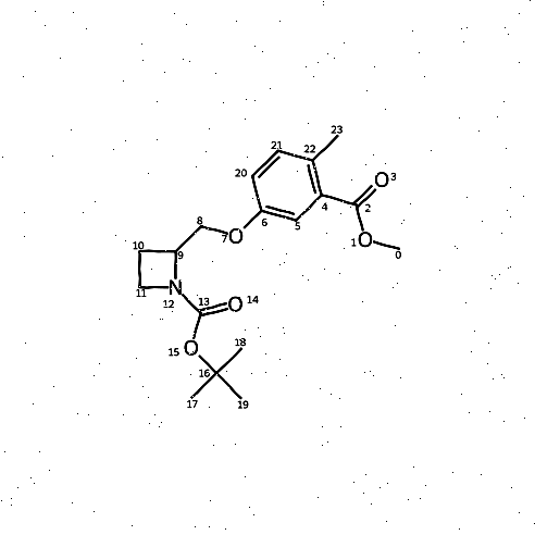 COC(=O)c1cc(OCC2CCN2C(=O)OC(C)(C)C)ccc1C